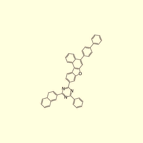 C1=CC2=CC(c3nc(-c4ccccc4)nc(-c4ccc5c(c4)oc4cc(-c6ccc(-c7ccccc7)cc6)c6ccccc6c45)n3)=CCC2C=C1